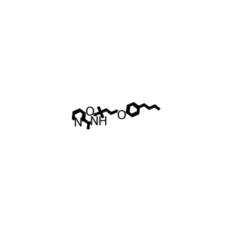 CCCCc1ccc(OCCCC(C)(C)C(=O)NC(C)c2ccccn2)cc1